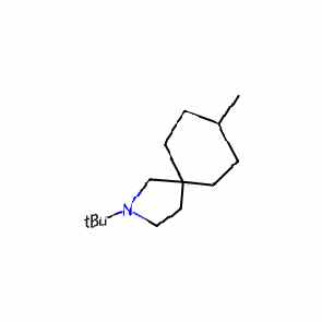 CC1CCC2(CC1)CCN(C(C)(C)C)C2